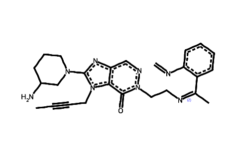 C=Nc1ccccc1/C(C)=N\CCn1ncc2nc(N3CCCC(N)C3)n(CC#CC)c2c1=O